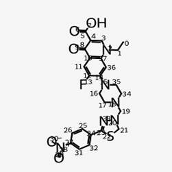 CCn1cc(C(=O)O)c(=O)c2cc(F)c(N3CCN(CN4CSC(c5ccc([N+](=O)[O-])cc5)=N4)CC3)cc21